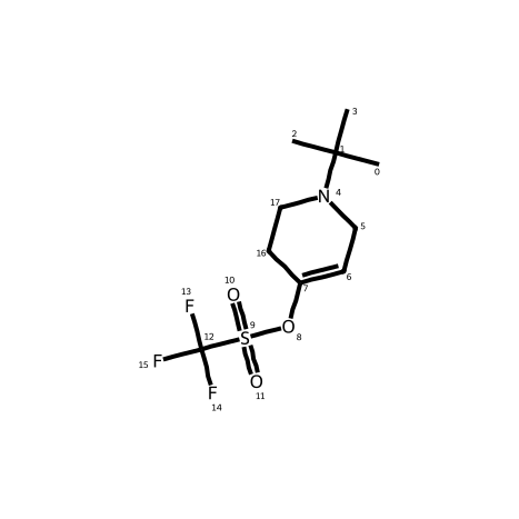 CC(C)(C)N1CC=C(OS(=O)(=O)C(F)(F)F)CC1